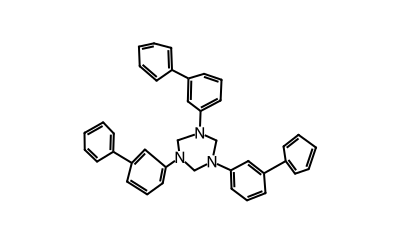 c1ccc(-c2cccc(N3CN(c4cccc(-c5ccccc5)c4)CN(c4cccc(-c5ccccc5)c4)C3)c2)cc1